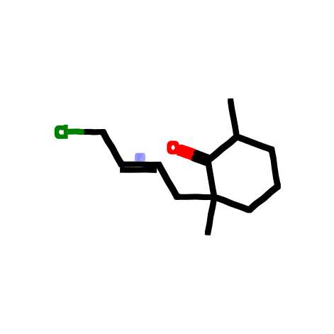 CC1CCCC(C)(C/C=C/CCl)C1=O